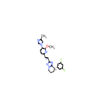 COc1nc(/C=C/c2nc3n(n2)CCC[C@H]3c2cc(F)cc(F)c2)ccc1-n1cnc(C)c1